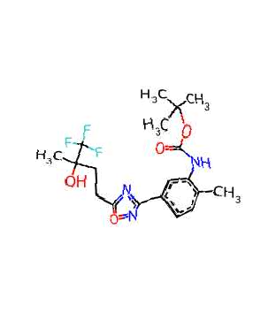 Cc1ccc(-c2noc(CCC(C)(O)C(F)(F)F)n2)cc1NC(=O)OC(C)(C)C